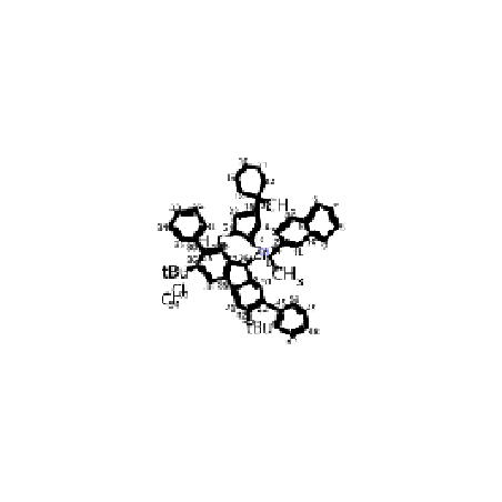 C/[C](c1ccc2ccccc2c1)=[Zr+2](/[C]1=CC(C2(C)CCCCC2)=CC1C)[CH]1c2cc(-c3ccccc3)c(C(C)(C)C)cc2-c2cc(C(C)(C)C)c(-c3ccccc3)cc21.[Cl-].[Cl-]